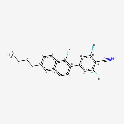 CCCCc1ccc2c(F)c(-c3cc(F)c(C#N)c(F)c3)ccc2c1